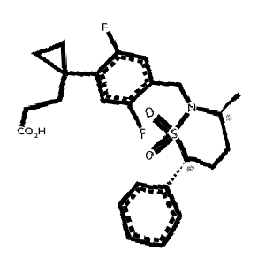 C[C@H]1CC[C@H](c2ccccc2)S(=O)(=O)N1Cc1cc(F)c(C2(CCC(=O)O)CC2)cc1F